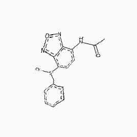 CC(=O)Nc1ccc([S+]([O-])c2ccccc2)c2nonc12